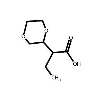 CCC(C(=O)O)C1COCCO1